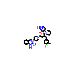 Cc1cc(CC(CC(=O)N2CCC(N3Cc4ccccc4NC3=O)CC2)C(=O)[N+]2(C3CCNCC3)CCCCC2)ccc1Cl